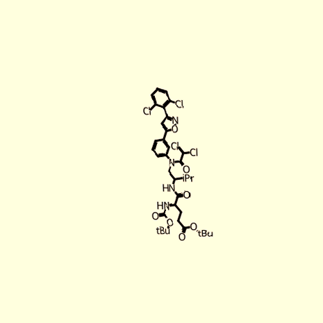 CC(C)C(CN(C(=O)C(Cl)Cl)c1cccc(-c2cc(-c3c(Cl)cccc3Cl)no2)c1)NC(=O)C(CCC(=O)OC(C)(C)C)NC(=O)OC(C)(C)C